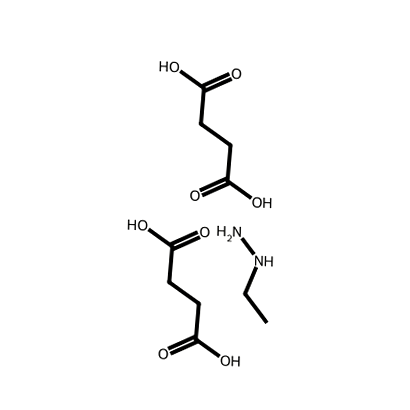 CCNN.O=C(O)CCC(=O)O.O=C(O)CCC(=O)O